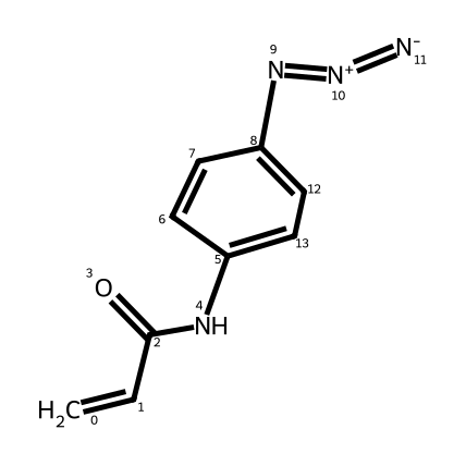 C=CC(=O)Nc1ccc(N=[N+]=[N-])cc1